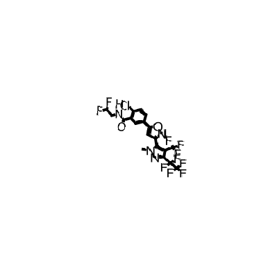 Cn1nc(C(F)(F)C(F)(F)F)c(C(F)(F)F)c1-c1cc(-c2ccc(Cl)c(C(=O)NCC(F)F)c2)on1